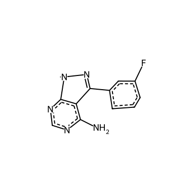 Nc1ncnc2c1C(c1cccc(F)c1)=N[N]2